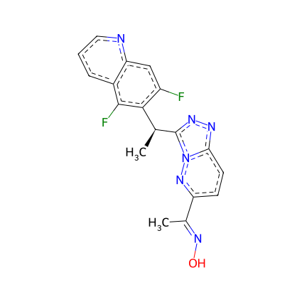 C/C(=N\O)c1ccc2nnc([C@@H](C)c3c(F)cc4ncccc4c3F)n2n1